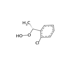 C[C@@H](OO)c1ccccc1Cl